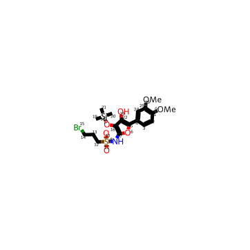 COc1ccc(-c2oc(NS(=O)(=O)CCCBr)c(O[Si](C)(C)C)c2O)cc1OC